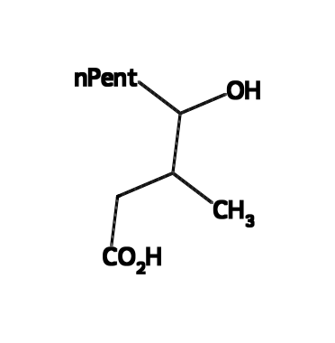 CCCCCC(O)C(C)CC(=O)O